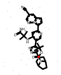 CC(C)(C)OC(=O)N1C2CCC1CN(c1nnc(-c3cnc(-c4ccc5cc(C#N)cnn45)cc3NC(C)(C)C(N)=O)s1)C2